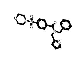 O=C(c1ccc(S(=O)(=O)N2CCOCC2)cc1)N(Cc1ccccc1)Cc1cccs1